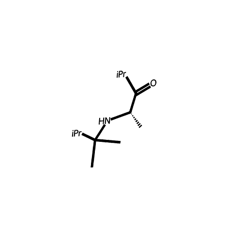 CC(C)C(=O)[C@H](C)NC(C)(C)C(C)C